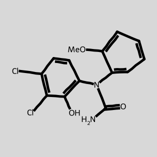 COc1ccccc1N(C(N)=O)c1ccc(Cl)c(Cl)c1O